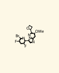 COc1cc2ncc(-c3nc(Br)c(F)cc3F)n2nc1C1CCO1